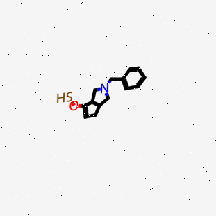 SOC1=CCC2CN(Cc3ccccc3)CC12